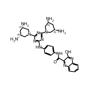 N[C@@H]1C[C@H](N)CN(c2nc(Nc3ccc(NC(=O)c4nc5ccccc5nc4O)cc3)nc(N3C[C@H](N)C[C@H](N)C3)n2)C1